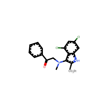 CCOC(=O)c1[nH]c2cc(Cl)cc(Cl)c2c1N(C)CC(=O)c1ccccc1